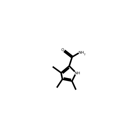 Cc1[nH]c(C(N)=O)c(C)c1C